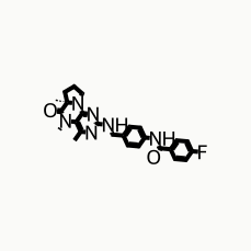 Cc1nc(NCc2ccc(NC(=O)c3ccc(F)cc3)cc2)nc2c1N(C)C(=O)[C@@]1(C)CCCN21